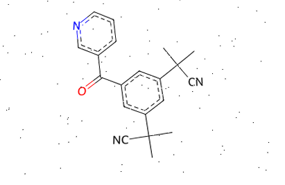 CC(C)(C#N)c1cc(C(=O)c2cccnc2)cc(C(C)(C)C#N)c1